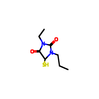 CCCN1C(=O)N(CC)C(=O)C1S